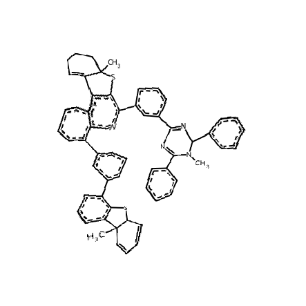 CN1C(c2ccccc2)=NC(c2cccc(-c3nc4c(-c5cccc(-c6cccc7c6SC6C=CC=CC76C)c5)cccc4c4c3SC3(C)CCCC=C43)c2)=NC1c1ccccc1